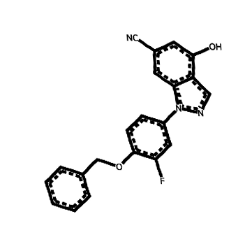 N#Cc1cc(O)c2cnn(-c3ccc(OCc4ccccc4)c(F)c3)c2c1